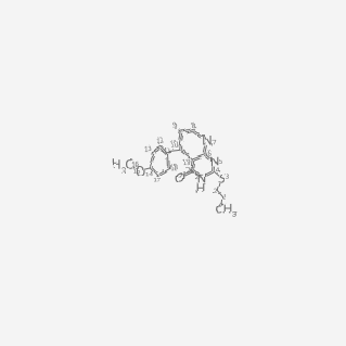 CCCSc1nc2nccc(-c3ccc(OC)cc3)c2c(=O)[nH]1